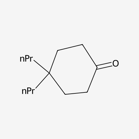 CCCC1(CCC)CCC(=O)CC1